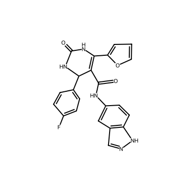 O=C1NC(c2ccco2)=C(C(=O)Nc2ccc3[nH]ncc3c2)C(c2ccc(F)cc2)N1